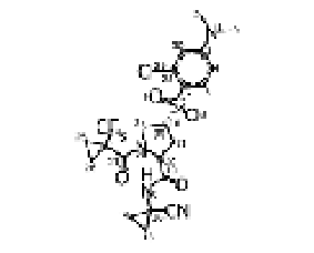 CN(C)c1ccc(S(=O)(=O)[C@@H]2C[C@@H](C(=O)NC3(C#N)CC3)N(C(=O)C3(C(F)(F)F)CC3)C2)c(Cl)c1